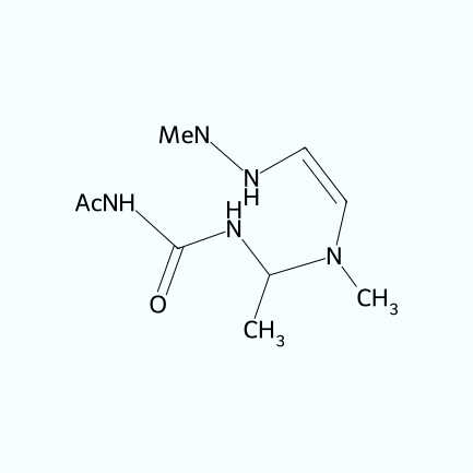 CNN/C=C\N(C)C(C)NC(=O)NC(C)=O